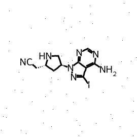 N#CC[C@H]1C[C@H](n2nc(I)c3c(N)ncnc32)CN1